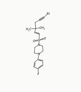 CCC#CCC(C)(C)/C=C/S(=O)(=O)N1CCN(c2ccc(F)cc2)CC1